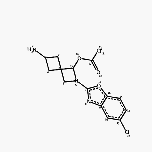 NC1CC2(C1)CN(c1nc3cc(Cl)ccc3o1)C2OC(=O)C(F)(F)F